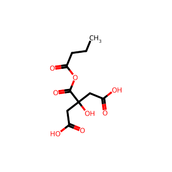 CCCC(=O)OC(=O)C(O)(CC(=O)O)CC(=O)O